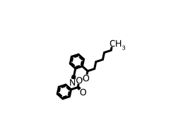 CCCCCCC(OOC(=O)c1ccccc1)c1ccccc1C#N